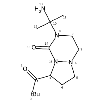 CC(C)(C)C(=O)C1CCN2CCN(C(C)(C)N)C(=O)N12